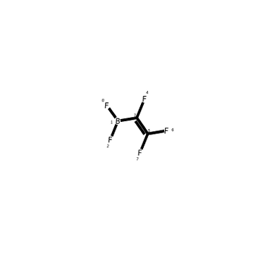 FB(F)C(F)=C(F)F